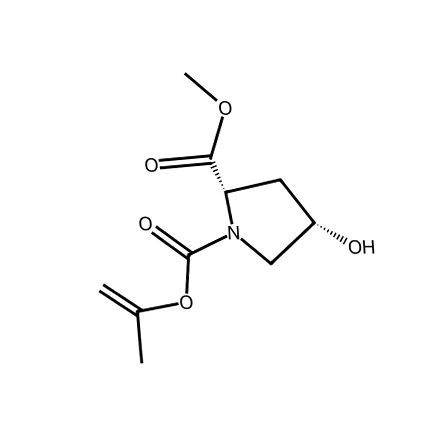 C=C(C)OC(=O)N1C[C@@H](O)C[C@H]1C(=O)OC